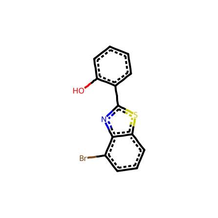 Oc1ccccc1-c1nc2c(Br)cccc2s1